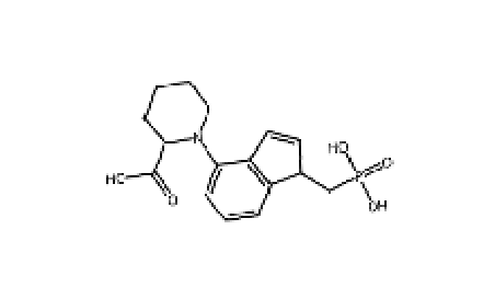 O=C(O)C1CCCCN1c1cccc2c1C=CC2CP(=O)(O)O